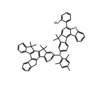 Cc1cc(C)c(N(c2ccc3c(c2)C(C)(C)c2cc(-c4ccccc4C(C)(C)C)c4oc5ccccc5c4c2-3)c2ccc3c(c2)C(C)(C)c2c-3c3c(c4c2C(C)(C)c2ccccc2-4)-c2ccccc2C3)c(C)c1